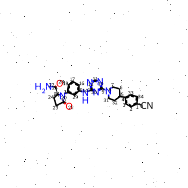 N#Cc1ccc(C2CCN(c3ncnc(Nc4cccc(N5C(=O)CC[C@H]5C(N)=O)c4)n3)CC2)cc1